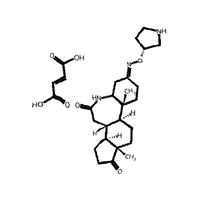 C[C@]12CC/C(=N\O[C@@H]3CCNC3)CC1NC(=O)C[C@@H]1[C@@H]2CC[C@]2(C)C(=O)CC[C@@H]12.O=C(O)/C=C/C(=O)O